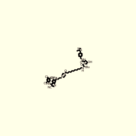 COc1cc(Nc2c(C#N)cnc3cc(OCCCN4CCN(C(=O)CCCCCCCCCCN[C@H](C(=O)N5CC(O)CC5C(=O)NCc5ccc(-c6scnc6C)cc5)C(C)(C)C)CC4)c(OC)cc23)c(Cl)cc1Cl